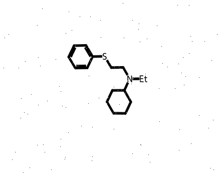 CCN(CCSc1ccccc1)C1CCCCC1